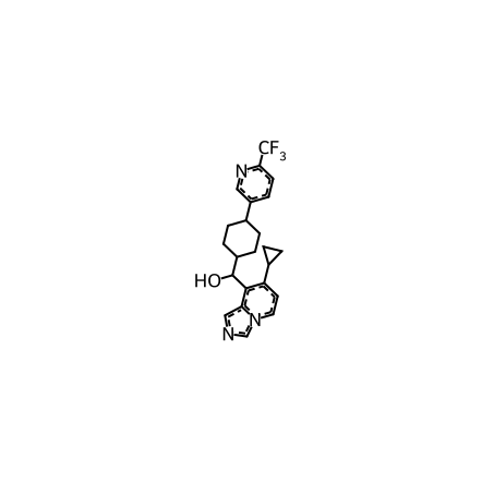 OC(c1c(C2CC2)ccn2cncc12)C1CCC(c2ccc(C(F)(F)F)nc2)CC1